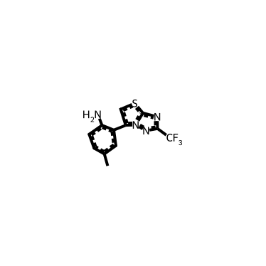 Cc1ccc(N)c(-c2csc3nc(C(F)(F)F)nn23)c1